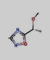 CO[C@H](C)c1n[c]no1